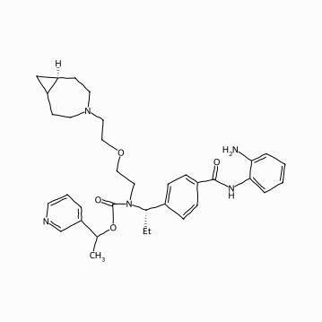 CC[C@@H](c1ccc(C(=O)Nc2ccccc2N)cc1)N(CCOCCN1CCC2C[C@H]2CC1)C(=O)OC(C)c1cccnc1